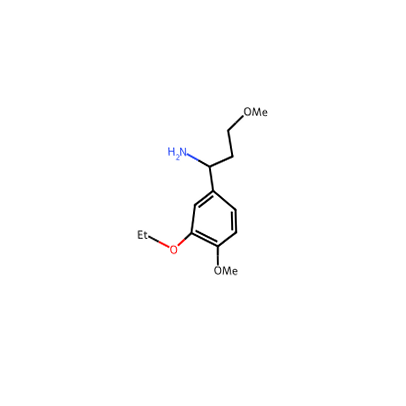 CCOc1cc(C(N)CCOC)ccc1OC